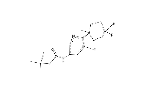 CC(C)(C)OC(=O)Nc1cnc(C2(C)CCC(F)(F)CC2)c(F)c1